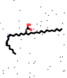 CCCCC/C=C\C/C=C\CCCCCC(CCCCCCCCCCCCCC)CC(=O)O